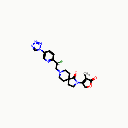 CC1=C(N2CCC3(CCN(C[C@H](F)c4ccc(-n5cnnn5)cn4)CC3)C2=O)COC1=O